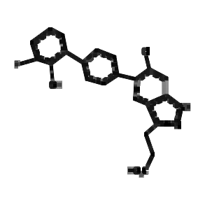 O=C(O)CCc1n[nH]c2cc(Cl)c(-c3ccc(-c4cccc(F)c4O)cc3)cc12